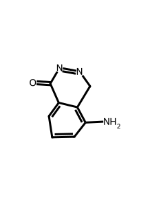 Nc1cccc2c1CN=NC2=O